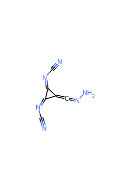 N#C/N=C1\C(=C=NN)\C1=N/C#N